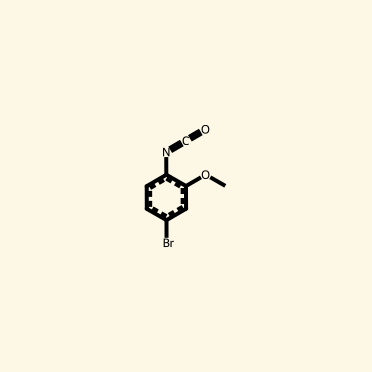 COc1cc(Br)ccc1N=C=O